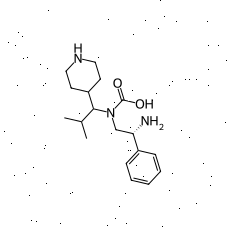 CC(C)C(C1CCNCC1)N(C[C@H](N)c1ccccc1)C(=O)O